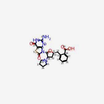 Nc1nc2c(sc(=O)n2[C@@H]2O[C@@H](Cc3ccccc3C(=O)O)C[C@H]2N2CCCC2)c(=O)[nH]1